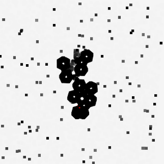 CC1(C)c2ccccc2-c2ccc(N(c3ccc(C4(c5ccccc5)c5ccccc5C5(c6ccccc6)c6ccccc6-c6cccc4c65)cc3)c3cccc4c3oc3ccccc34)cc21